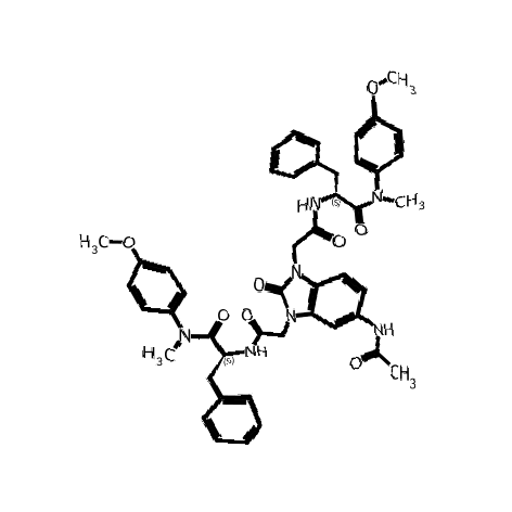 COc1ccc(N(C)C(=O)[C@H](Cc2ccccc2)NC(=O)Cn2c(=O)n(CC(=O)N[C@@H](Cc3ccccc3)C(=O)N(C)c3ccc(OC)cc3)c3cc(NC(C)=O)ccc32)cc1